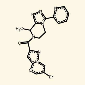 CC1c2nnc(-c3ccccn3)n2CCN1C(=O)c1cc2ncc(Br)cn2n1